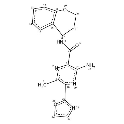 Cc1nc(C(=O)N[C@H]2CCOc3ccccc32)c(N)nc1-c1ncco1